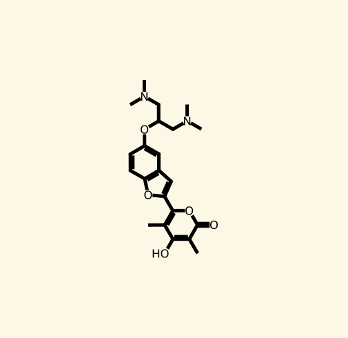 Cc1c(-c2cc3cc(OC(CN(C)C)CN(C)C)ccc3o2)oc(=O)c(C)c1O